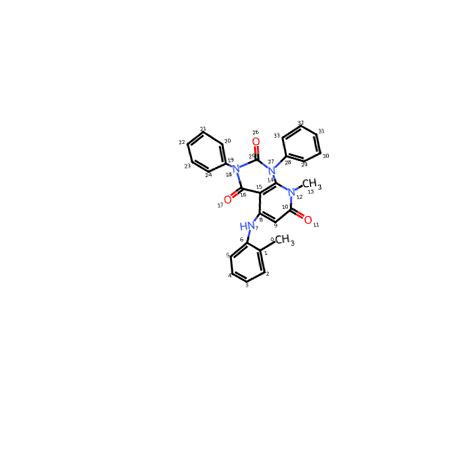 Cc1ccccc1Nc1cc(=O)n(C)c2c1c(=O)n(-c1ccccc1)c(=O)n2-c1ccccc1